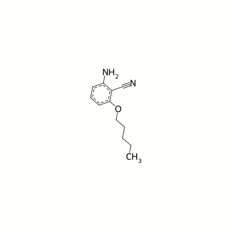 CCCCCOc1cccc(N)c1C#N